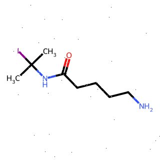 CC(C)(I)NC(=O)CCCCN